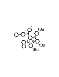 Cc1ccc(N(c2ccc(-c3ccccc3)cc2)c2cc3c4c(c2)N(c2cccc5ccccc25)c2ccc(C(C)(C)C)cc2B4c2cc(C(C)(C)C)ccc2N3c2ccc(C(C)(C)C)cc2)c(C)c1